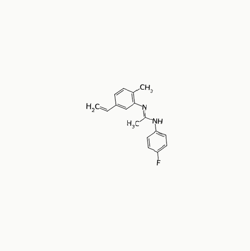 C=Cc1ccc(C)c(/N=C(\C)Nc2ccc(F)cc2)c1